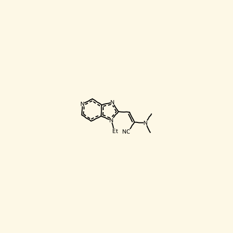 CCn1c(C=C(C#N)N(C)C)nc2cnccc21